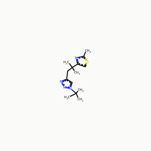 Cc1nc(C(C)(C)Cc2cn(C(C)(C)C)nn2)cs1